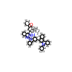 C=C(/C=c1/c2c(oc1=C)CCC=C2)C1=c2ccccc2=NC(n2c3ccccc3c3cc(-c4cc5c(c6ccccc46)c4ccccc4n5-c4ccccc4)ccc32)N1